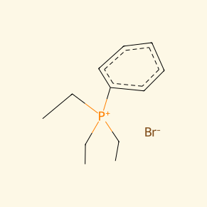 CC[P+](CC)(CC)c1ccccc1.[Br-]